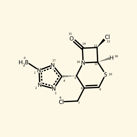 Bn1nnc([C@H]2C(CCl)=CS[C@@H]3[C@H](Cl)C(=O)N23)n1